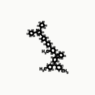 Cc1ccc(N(c2ccc(C)cc2)c2ccc3c(c2)c2ccccc2n3-c2ccc(-c3ccc(-c4ccc(-c5cc(-c6ccccc6)nc(-c6ccccc6)n5)cc4)cc3)c(C)c2)cc1